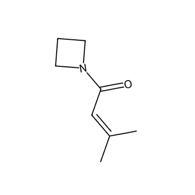 CC(C)=CC(=O)N1CCC1